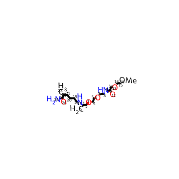 C=C(COCCOCCNC(=O)COCCOC)NCCCC[C@H](C)C(N)=O